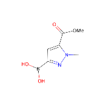 COC(=O)c1cc(B(O)O)nn1C